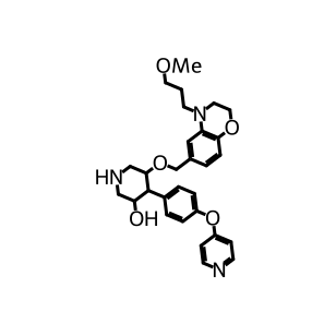 COCCCN1CCOc2ccc(COC3CNCC(O)C3c3ccc(Oc4ccncc4)cc3)cc21